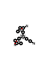 N#Cc1ccc(-c2ccc(-c3nc(-c4ccc(-c5cccc(C#N)c5)c(-n5c6ccccc6c6ccccc65)c4)nc(-c4ccc(-c5cccc(C#N)c5)c(-n5c6ccccc6c6ccccc65)c4)n3)cc2)cc1